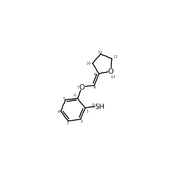 Sc1ccccc1OC=C1CCCO1